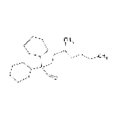 CCCCC(C)CCC(C=O)(C1CCCCC1)C1CCCCC1